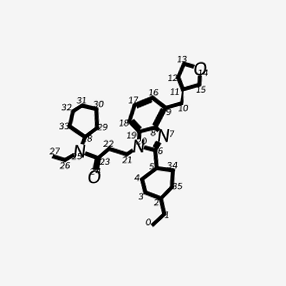 CCC1CCC(c2nc3c(C[C@H]4CCOC4)cccc3n2CCC(=O)N(CC)C2CCCCC2)CC1